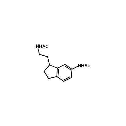 CC(=O)NCCC1CCc2ccc(NC(C)=O)cc21